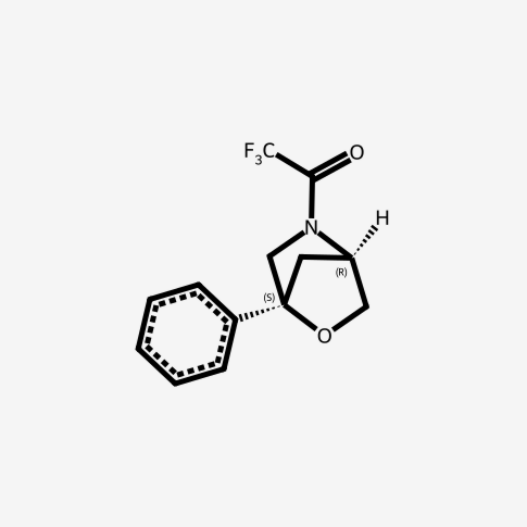 O=C(N1C[C@@]2(c3ccccc3)C[C@@H]1CO2)C(F)(F)F